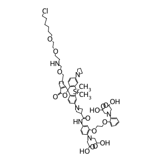 C[Si]1(C)c2cc(N3CCC3)ccc2C2(OC(=O)c3ccc(COCNCCOCCOCCCCCCCl)cc32)c2ccc(N3CC(C(=O)Nc4ccc(N(CC(=O)O)CC(=O)O)c(OCCOc5ccccc5N(CC(=O)O)CC(=O)O)c4)C3)cc21